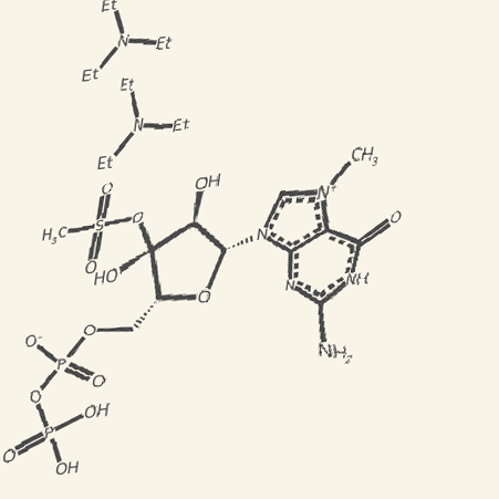 CCN(CC)CC.CCN(CC)CC.C[n+]1cn([C@@H]2O[C@H](COP(=O)([O-])OP(=O)(O)O)[C@](O)(OS(C)(=O)=O)[C@H]2O)c2nc(N)[nH]c(=O)c21